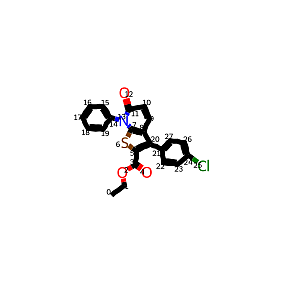 CCOC(=O)c1sc2c(ccc(=O)n2-c2ccccc2)c1-c1ccc(Cl)cc1